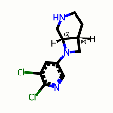 Clc1cc(N2C[C@H]3CCNC[C@H]32)cnc1Cl